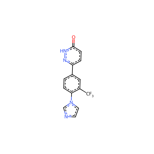 O=c1ccc(-c2ccc(-n3ccnc3)c(C(F)(F)F)c2)n[nH]1